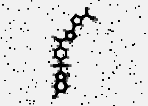 NC(=O)N1CCC(c2cnc(C(=O)N3CCN(S(=O)(=O)c4cc5cc(Cl)ccc5[nH]4)CC3)s2)C1